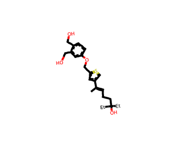 CCC(O)(CC)CCC=C(C)c1csc(COc2ccc(CO)c(CO)c2)c1